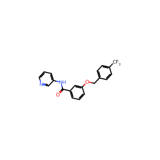 O=C(Nc1cccnc1)c1cccc(OCc2ccc(C(F)(F)F)cc2)c1